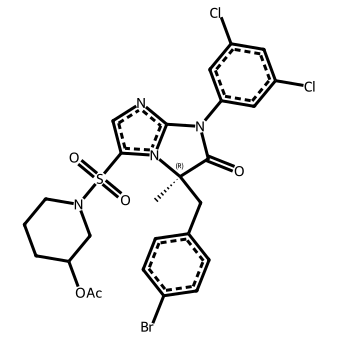 CC(=O)OC1CCCN(S(=O)(=O)c2cnc3n2[C@](C)(Cc2ccc(Br)cc2)C(=O)N3c2cc(Cl)cc(Cl)c2)C1